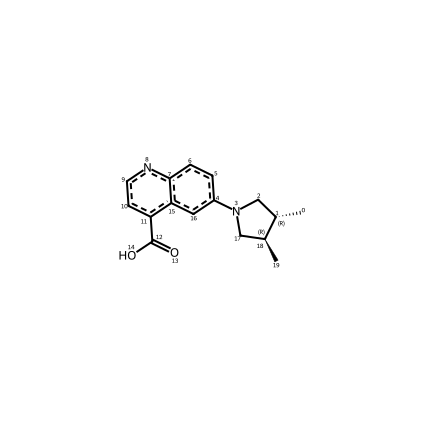 C[C@H]1CN(c2ccc3nccc(C(=O)O)c3c2)C[C@@H]1C